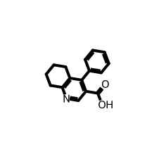 O=C(O)c1cnc2c(c1-c1ccccc1)CCCC2